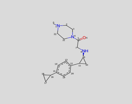 CN1CCN(C(=O)CN[C@H]2CC2c2ccc(C3CC3)cc2)CC1